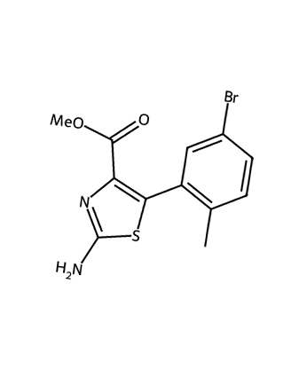 COC(=O)c1nc(N)sc1-c1cc(Br)ccc1C